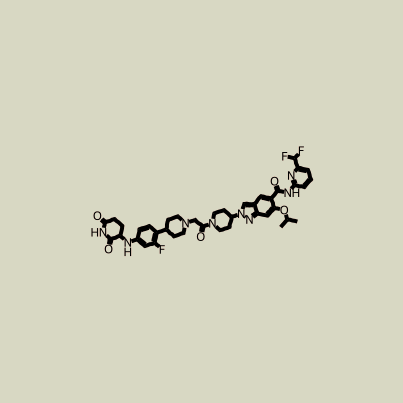 CC(C)Oc1cc2nn(C3CCN(C(=O)CN4CCC(c5ccc(NC6CCC(=O)NC6=O)cc5F)CC4)CC3)cc2cc1C(=O)Nc1cccc(C(F)F)n1